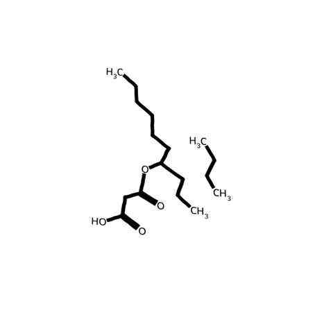 CCCC.CCCCCCC(CCC)OC(=O)CC(=O)O